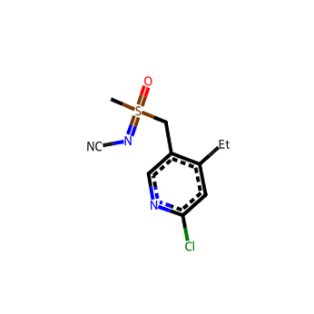 CCc1cc(Cl)ncc1CS(C)(=O)=NC#N